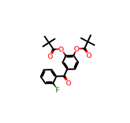 CC(C)(C)C(=O)Oc1ccc(C(=O)c2ccccc2F)cc1OC(=O)C(C)(C)C